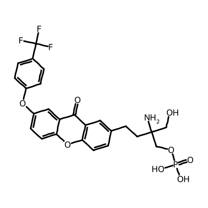 NC(CO)(CCc1ccc2oc3ccc(Oc4ccc(C(F)(F)F)cc4)cc3c(=O)c2c1)COP(=O)(O)O